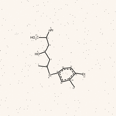 CCCC(CC(O)CC(C)Oc1ccc(CC)c(C)c1)C(=O)O